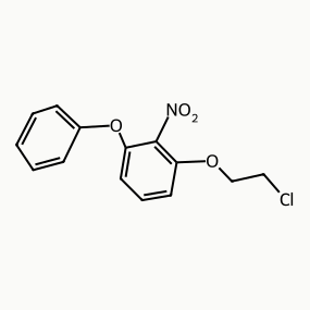 O=[N+]([O-])c1c(OCCCl)cccc1Oc1ccccc1